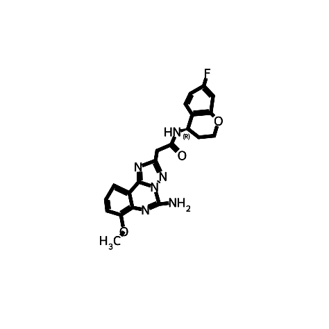 COc1cccc2c1nc(N)n1nc(CC(=O)N[C@@H]3CCOc4cc(F)ccc43)nc21